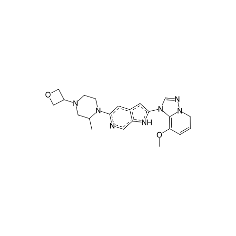 COC1=C2N(CC=C1)N=CN2c1cc2cc(N3CCN(C4COC4)CC3C)ncc2[nH]1